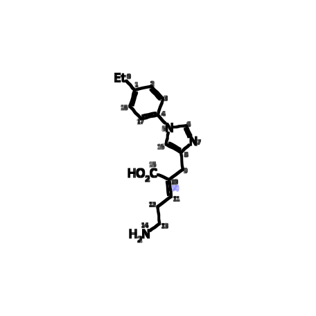 CCc1ccc(-n2cnc(C/C(=C/CCN)C(=O)O)c2)cc1